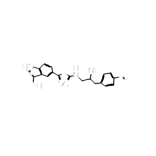 CCOc1ccc(CC(N)CNc2nnc(-c3ccc4[nH]nc(C)c4c3)s2)cc1